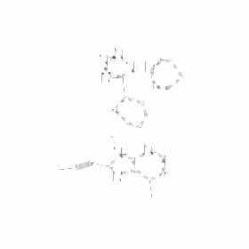 CC#Cc1nc2c(C)ccnc2n1Cc1ccc(-c2ccccc2)c(-c2nnn[nH]2)c1